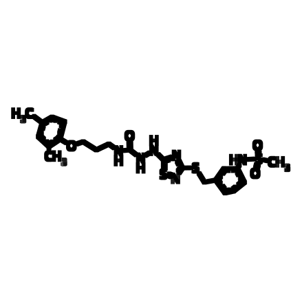 Cc1ccc(OCCCNC(=O)NNc2nc(SCc3cccc(NS(C)(=O)=O)c3)ns2)c(C)c1